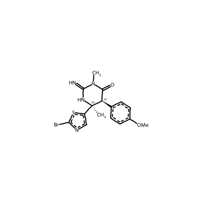 COc1ccc([C@@H]2C(=O)N(C)C(=N)N[C@]2(C)c2cnc(Br)s2)cc1